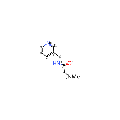 CNCC(=O)NCc1cccnc1